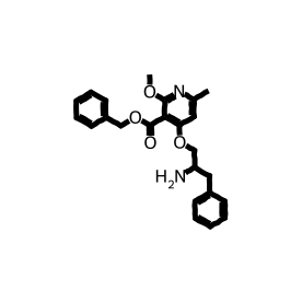 COc1nc(C)cc(OCC(N)Cc2ccccc2)c1C(=O)OCc1ccccc1